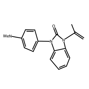 C=C(C)n1c(=O)n(-c2ccc(NC)cc2)c2ccccc21